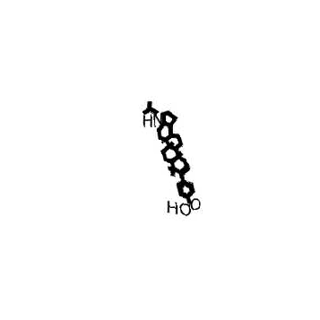 CC(C)CNC12CCCC1C1CCC3C4(C)CC=C(c5ccc(C(=O)O)cc5)C(C)(C)C4CCC3(C)[C@]1(C)CC2